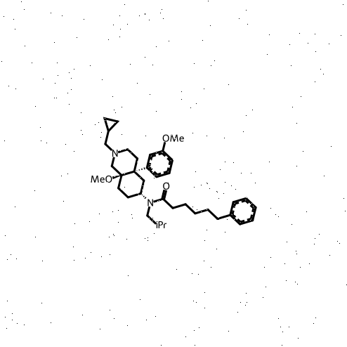 COc1cccc([C@@]23CCN(CC4CC4)C[C@@]2(OC)CC[C@@H](N(CC(C)C)C(=O)CCCCCc2ccccc2)C3)c1